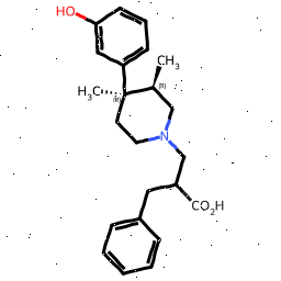 C[C@H]1CN(CC(Cc2ccccc2)C(=O)O)CC[C@@]1(C)c1cccc(O)c1